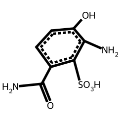 NC(=O)c1ccc(O)c(N)c1S(=O)(=O)O